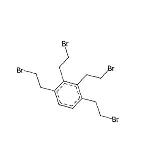 BrCCc1ccc(CCBr)c(CCBr)c1CCBr